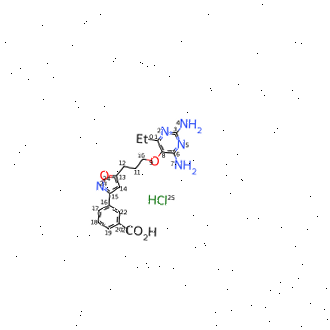 CCc1nc(N)nc(N)c1OCCCc1cc(-c2cccc(C(=O)O)c2)no1.Cl